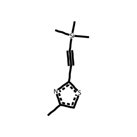 Cc1csc(C#C[Si](C)(C)C)n1